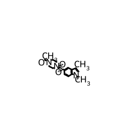 CC(=O)N1CCN(S(=O)(=O)c2ccc3c(c2)c(C)cn3C)CC1